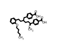 C=C=C(CCC(CCc1ccccc1OCCCCC)Cc1ccc(C(=O)O)cc1)c1ccc(C(=O)O)cc1